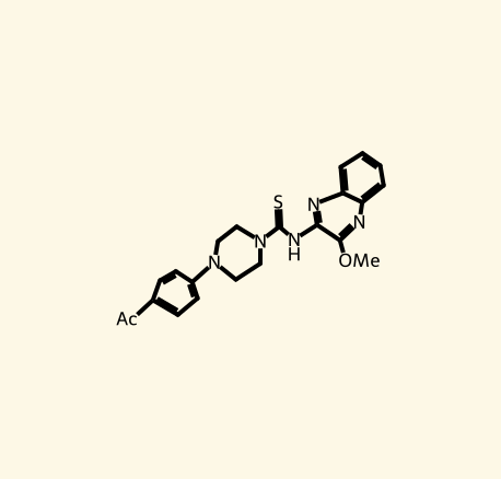 COc1nc2ccccc2nc1NC(=S)N1CCN(c2ccc(C(C)=O)cc2)CC1